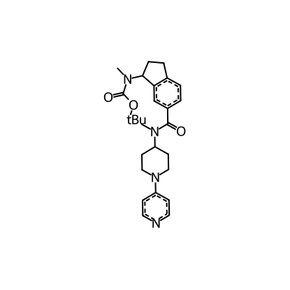 CN(C(=O)c1ccc2c(c1)C(N(C)C(=O)OC(C)(C)C)CC2)C1CCN(c2ccncc2)CC1